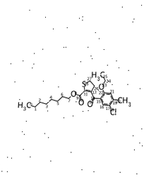 CCCCCCCCOC(=O)C1=C(C(=O)c2cc(Cl)c(C)cc2OCC)CCS1